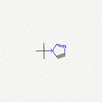 CC(C)(C)n1c#cnc1